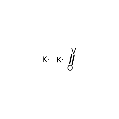 [K].[K].[O]=[V]